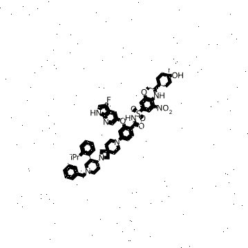 CC(C)c1ccccc1[C@H]1CN(Cc2ccccc2)CC[C@H]1N1CC2(CCN(c3ccc(C(=O)NS(=O)(=O)c4cc5c(c([N+](=O)[O-])c4)N[C@@H]([C@H]4CC[C@](C)(O)CC4)CO5)c(Oc4cnc5[nH]cc(F)c5c4)c3)CC2)C1